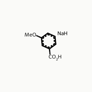 COc1cccc(C(=O)O)c1.[NaH]